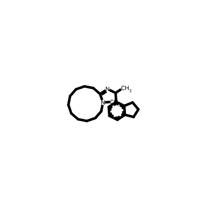 CC(N=C1CCCCCCCCCCN1C)c1cccc2c1CCC2